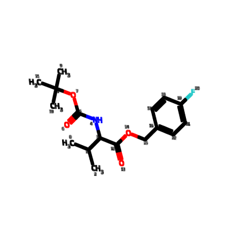 CC(C)C(NC(=O)OC(C)(C)C)C(=O)OCc1ccc(F)cc1